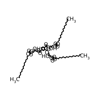 CCCCCCCCCCCCCCCCOS(=O)(=O)OCC(O)COC(=O)c1ccc(C(=O)OCC(O)COS(=O)(=O)OCCCCCCCCCCCCCCCC)c(C(=O)OCC(O)COS(=O)(=O)OCCCCCCCCCCCCCCCC)c1